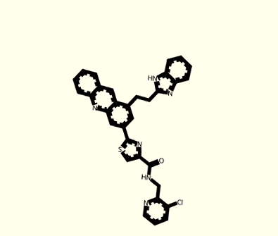 O=C(NCc1ncccc1Cl)c1csc(-c2cc(CCc3nc4ccccc4[nH]3)c3cc4ccccc4nc3c2)n1